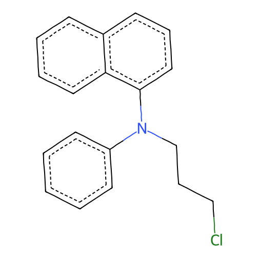 ClCCCN(c1ccccc1)c1cccc2ccccc12